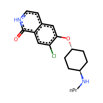 CCCN[C@H]1CC[C@H](Oc2cc3cc[nH]c(=O)c3cc2Cl)CC1